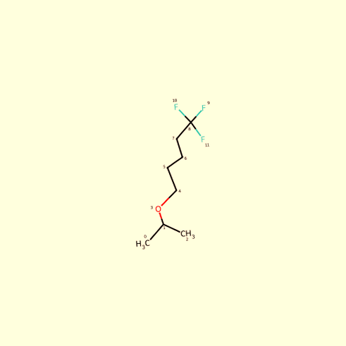 CC(C)OCCCCC(F)(F)F